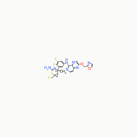 C[C@]1(c2cc(Nc3nccc4nc(OCc5ncco5)cnc34)cc(F)c2F)N=C(N)SC2(CF)CC21